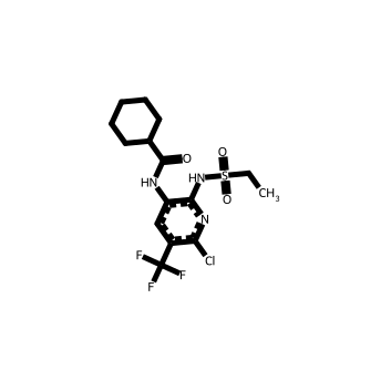 CCS(=O)(=O)Nc1nc(Cl)c(C(F)(F)F)cc1NC(=O)C1CCCCC1